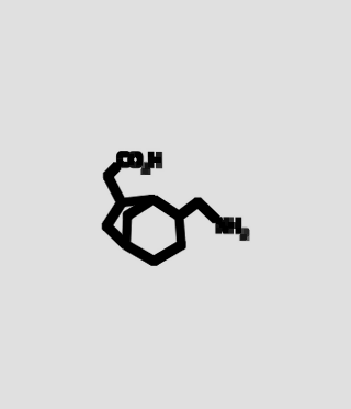 NCC1CCC2CC(CC(=O)O)C1C2